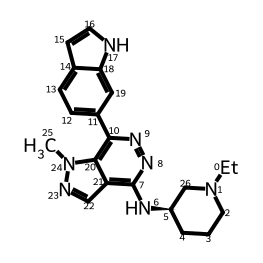 CCN1CCC[C@@H](Nc2nnc(-c3ccc4cc[nH]c4c3)c3c2cnn3C)C1